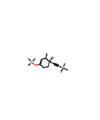 CCC1(C#C[Si](C)(C)C)CCC(O[Si](C)(C)C)=CC1C